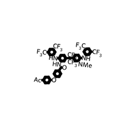 CNc1cc(C(c2ccc(Nc3cc(C(F)(F)F)cc(C(F)(F)F)c3)c(NC(=O)c3ccc(Oc4ccc(C(C)=O)cc4)cc3)c2)(C(F)(F)F)C(F)(F)F)ccc1Nc1cc(C(F)(F)F)cc(C(F)(F)F)c1